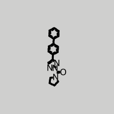 O=C(N1CCCC1)n1ncc(-c2ccc(-c3ccccc3)cc2)n1